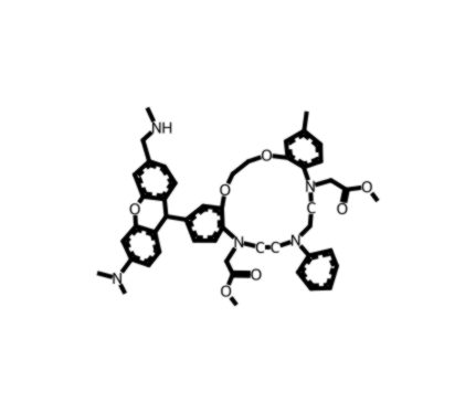 CNCc1ccc2c(c1)Oc1cc(N(C)C)ccc1C2c1ccc2c(c1)OCCOc1cc(C)ccc1N(CC(=O)OC)CCN(c1ccccc1)CCN2CC(=O)OC